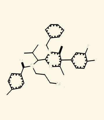 Cc1ccc(C(=O)N(CCCN)C(c2nc(C)c(-c3ccc(F)c(F)c3)c(=O)n2Cc2ccccc2)C(C)C)cc1